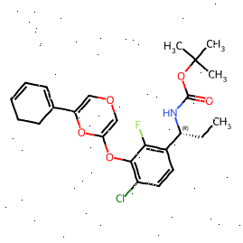 CC[C@@H](NC(=O)OC(C)(C)C)c1ccc(Cl)c(OC2=COC=C(C3=CC=CCC3)O2)c1F